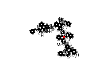 CC1=C(C(=O)O)C(c2ccccc2-c2c(C)noc2C)n2nnnc2N1Cc1ccccc1.CC1=C(C(=O)O)C(c2ccccc2-c2cnc(N)nc2)n2nnnc2N1Cc1ccccc1.CC1=C(C(=O)OCc2ccccc2)C(c2ccccc2-c2ccc(NS(C)(=O)=O)cc2)c2cn[nH]c2N1.COc1ccc(-c2sc3ccccc3c2C2C(C(=O)O)=C(C)N(Cc3ccccc3)c3nnnn32)cc1